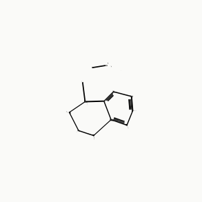 CN.O=S(=O)(O)C1CCCc2ccccc21